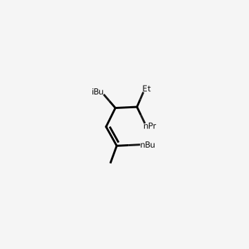 CCCC/C(C)=C\C(C(C)CC)C(CC)CCC